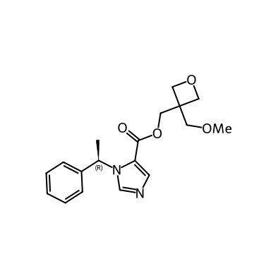 COCC1(COC(=O)c2cncn2[C@H](C)c2ccccc2)COC1